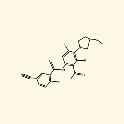 COC1CCN(c2c(F)cc(NC(=O)c3cc(C#N)ccc3Cl)c(C(C)=O)c2F)C1